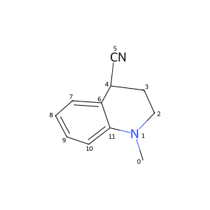 CN1CCC(C#N)c2ccccc21